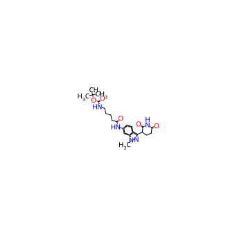 Cn1nc(C2CCC(=O)NC2=O)c2ccc(NC(=O)CCCCNC(=O)OC(C)(C)C)cc21